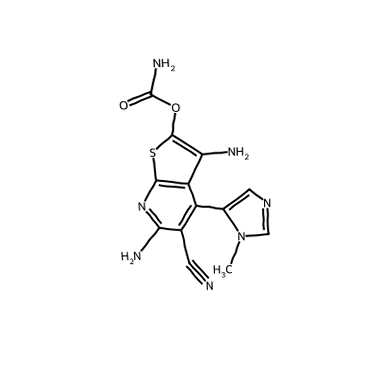 Cn1cncc1-c1c(C#N)c(N)nc2sc(OC(N)=O)c(N)c12